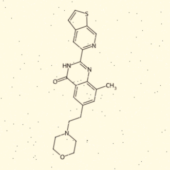 Cc1cc(CCN2CCOCC2)cc2c(=O)[nH]c(-c3cc4ccsc4cn3)nc12